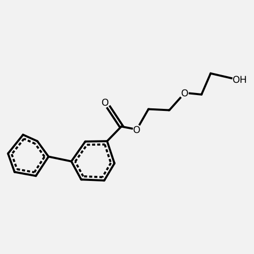 O=C(OCCOCCO)c1cccc(-c2ccccc2)c1